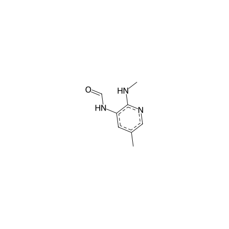 CNc1ncc(C)cc1NC=O